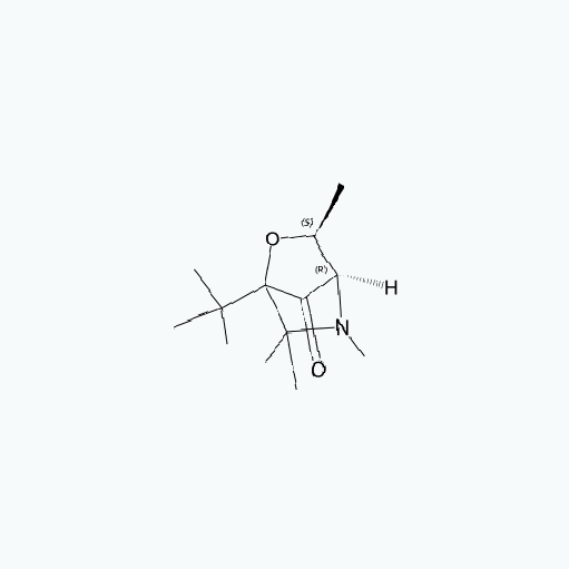 C[C@@H]1OC2(C(C)(C)C)C(=O)[C@@H]1N(C)C2(C)C